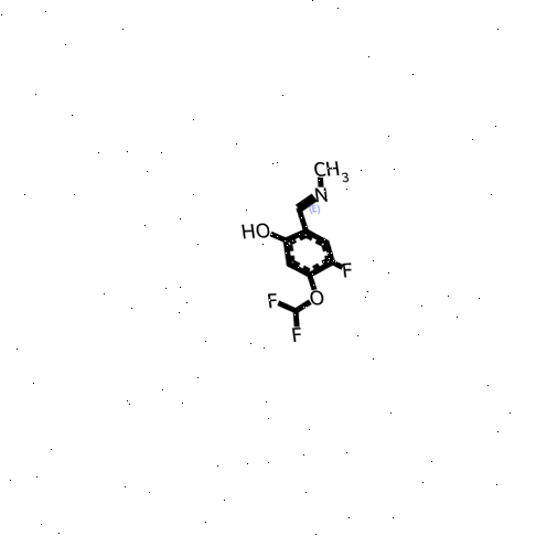 C/N=C/c1cc(F)c(OC(F)F)cc1O